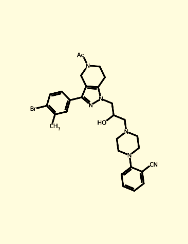 CC(=O)N1CCc2c(c(-c3ccc(Br)c(C)c3)nn2CC(O)CN2CCN(c3ccccc3C#N)CC2)C1